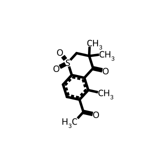 CC(=O)c1ccc2c(c1C)C(=O)C(C)(C)CS2(=O)=O